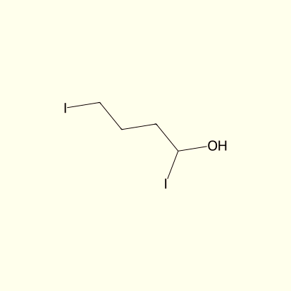 OC(I)CCCI